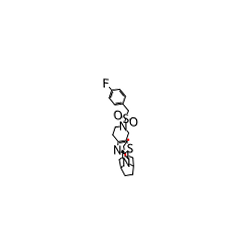 CCN1CC2CCC(C1)N2c1nc2c(s1)CN(S(=O)(=O)Cc1ccc(F)cc1)CC2